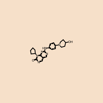 O=c1ncc2cnc(Nc3ccc(N4CCC(O)CC4)cc3)nc2n1C1CCCC1